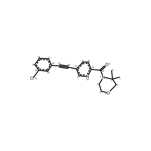 CC1(C)COCCN1C(=O)c1ccc(C#Cc2cccc(Cl)c2)cn1